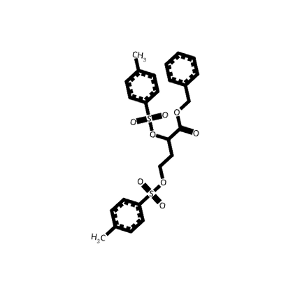 Cc1ccc(S(=O)(=O)OCCC(OS(=O)(=O)c2ccc(C)cc2)C(=O)OCc2ccccc2)cc1